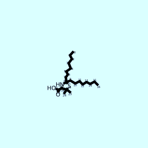 CCCCCCCCC1(CCCCCCCC)NC(C(=O)O)C(C)(C)S1